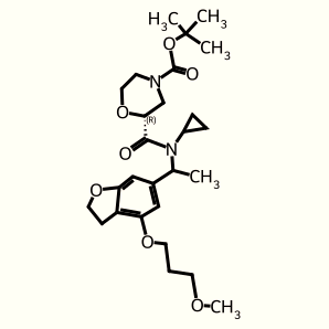 COCCCOc1cc(C(C)N(C(=O)[C@H]2CN(C(=O)OC(C)(C)C)CCO2)C2CC2)cc2c1CCO2